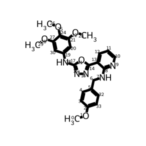 COc1ccc(CNc2ncccc2-c2nnc(Nc3cc(OC)c(OC)c(OC)c3)o2)cc1